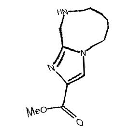 COC(=O)c1cn2c(n1)CNCCC2